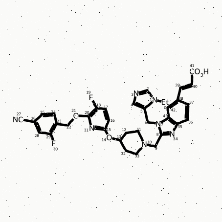 CCn1cncc1Cn1c(CN2CCC(Oc3ccc(F)c(OCc4ccc(C#N)cc4F)n3)CC2)nc2ccc(/C=C/C(=O)O)cc21